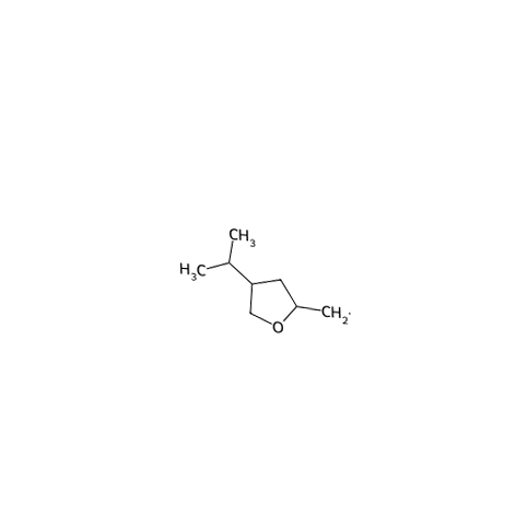 [CH2]C1CC(C(C)C)CO1